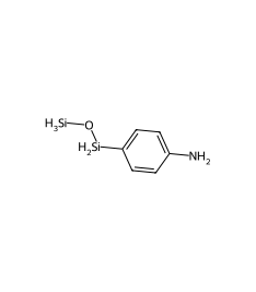 Nc1ccc([SiH2]O[SiH3])cc1